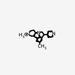 Cc1cc2c3c(c1)c1c(n3CC2c2ccncc2)CCN(C)C1